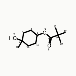 CC1(O)CCC(OC(=O)C(C)(C)C)CC1